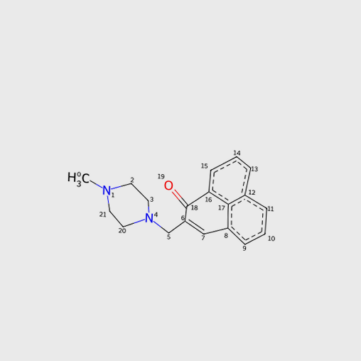 CN1CCN(CC2=Cc3cccc4cccc(c34)C2=O)CC1